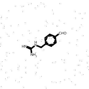 N=C(N)NCc1ccc([C]=O)cc1